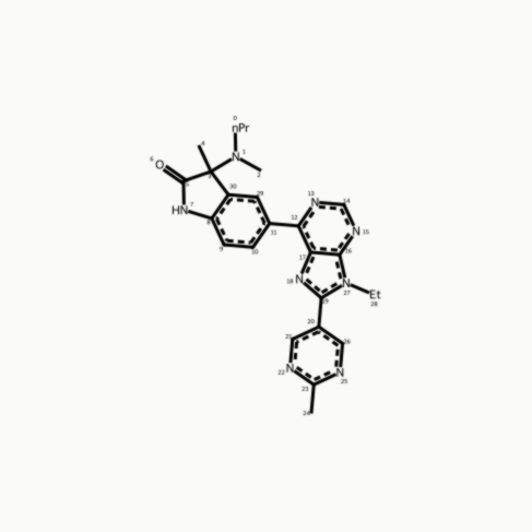 CCCN(C)C1(C)C(=O)Nc2ccc(-c3ncnc4c3nc(-c3cnc(C)nc3)n4CC)cc21